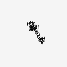 CC(C)C(NC(=O)C(CCC(=O)O)NC(=O)CCOCCOCCOCCOCCNC(=O)OCC1c2ccccc2-c2ccccc21)C(=O)ON1C(=O)CCC1=O